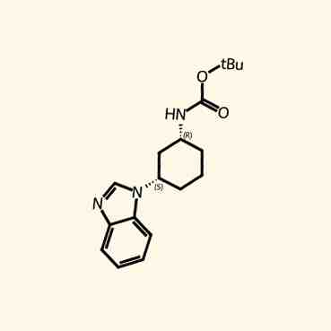 CC(C)(C)OC(=O)N[C@@H]1CCC[C@H](n2cnc3ccccc32)C1